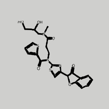 CN(CC(O)CO)C(=O)CCN(C(=O)c1cccs1)c1nc(C2Oc3ccccc3C2=O)cs1